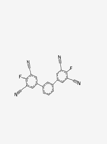 N#Cc1cc(-c2cccc(-c3cc(C#N)c(F)c(C#N)c3)c2)cc(C#N)c1F